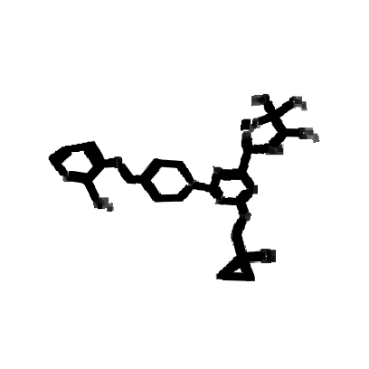 CC(NC(=O)c1nc(OCC2(C#N)CC2)nc(N2CCC(COc3cccnc3N)CC2)n1)C(C)(C)O